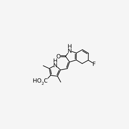 Cc1[nH]c(/C=C2\C(=O)NC3=C2CC(F)C=C3)c(C)c1C(=O)O